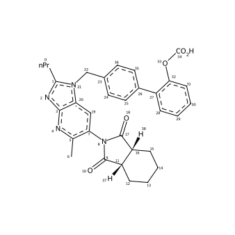 CCCc1nc2nc(C)c(N3C(=O)[C@H]4CCCC[C@H]4C3=O)cc2n1Cc1ccc(-c2ccccc2OC(=O)O)cc1